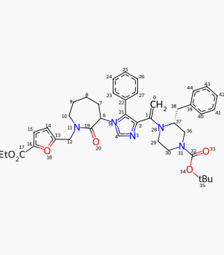 C=C(c1ncn(C2CCCCN(Cc3ccc(C(=O)OCC)o3)C2=O)c1-c1ccccc1)N1CCN(C(=O)OC(C)(C)C)C[C@H]1Cc1ccccc1